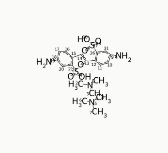 CN(C)C.CN(C)C.Nc1ccc(C=Cc2ccc(N)cc2S(=O)(=O)O)c(S(=O)(=O)O)c1